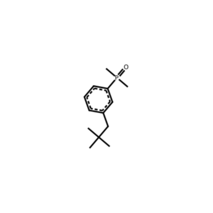 CC(C)(C)Cc1cccc(P(C)(C)=O)c1